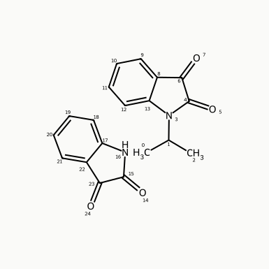 CC(C)N1C(=O)C(=O)c2ccccc21.O=C1Nc2ccccc2C1=O